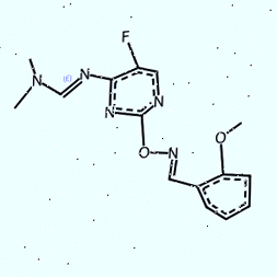 COc1ccccc1C=NOc1ncc(F)c(/N=C/N(C)C)n1